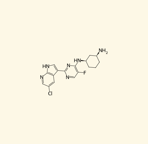 N[C@H]1CCC[C@@H](Nc2nc(-c3c[nH]c4ncc(Cl)cc34)ncc2F)C1